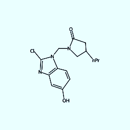 CCCC1CC(=O)N(Cn2c(Cl)nc3cc(O)ccc32)C1